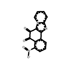 O=C1C(=O)c2c(nc3ccccn23)-c2cccc([N+](=O)[O-])c21